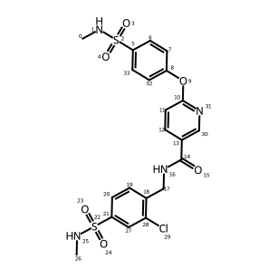 CNS(=O)(=O)c1ccc(Oc2ccc(C(=O)NCc3ccc(S(=O)(=O)NC)cc3Cl)cn2)cc1